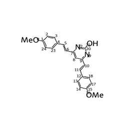 COc1ccc(C=Cc2cc(C=Cc3ccc(OC)cc3)nc(O)n2)cc1